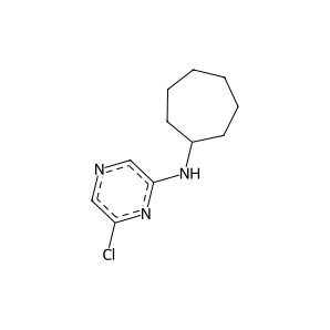 Clc1cncc(NC2CCCCCC2)n1